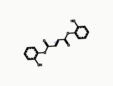 O=C(/C=C/C(=O)Oc1ccccc1O)Oc1ccccc1O